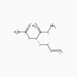 C=CCC[C@H](CC(N)=O)C(=C)CN